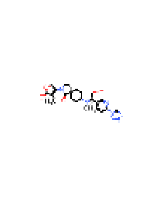 CC1=C(N2CC[C@]3(CC[C@H](N(C)[C@@H](CO)c4ccc(-n5cnnn5)nc4)CC3)C2=O)COC1=O